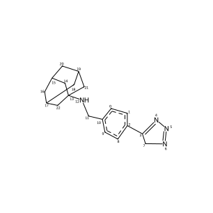 c1cc(C2=NN=NC2)ccc1CNC12CC3CC(CC(C3)C1)C2